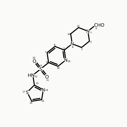 O=CN1CCN(c2ccc(S(=O)(=O)Nc3nccs3)cn2)CC1